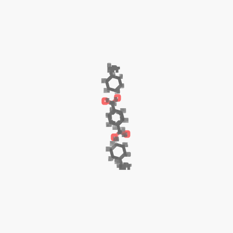 CCC[C@H]1CC[C@H](OC(=O)c2ccc(C(=O)O[C@H]3CC[C@H](CCC)CC3)cc2)CC1